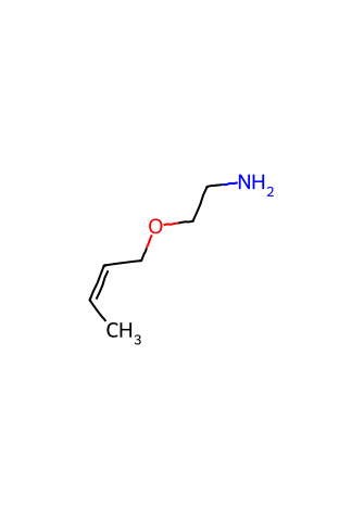 C/C=C\COCCN